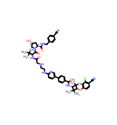 CC(C)(C)[C@H](NC(=O)CNCCNc1ccc(-c2ccc(C(O)N[C@H]3C(C)(C)[C@H](Oc4ccc(C#N)c(Cl)c4)C3(C)C)cc2)cn1)C(=O)N1C[C@H](O)C[C@H]1C(=O)NCc1ccc(C#N)cc1